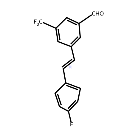 O=Cc1cc(/C=C/c2ccc(F)cc2)cc(C(F)(F)F)c1